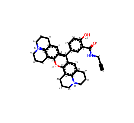 C#CCNC(=O)c1cc(C2=c3cc4c5c(c3Oc3c2cc2c6c3CCCN6CCC2)CCC[N+]=5CCC4)ccc1O